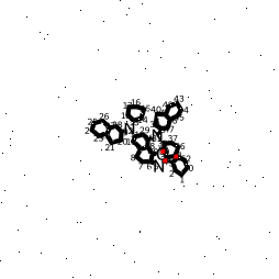 c1ccc(-c2nc3ccc4cc(N(c5ccccc5)c5ccc6ccccc6c5)cc(N(c5ccccc5)c5ccc6ccccc6c5)c4c3o2)cc1